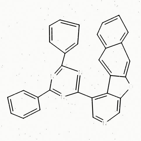 c1ccc(-c2nc(-c3ccccc3)nc(-c3cncc4oc5cc6ccccc6cc5c34)n2)cc1